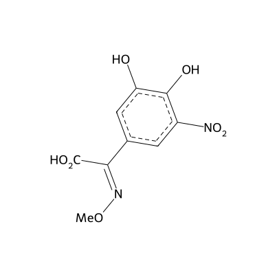 CON=C(C(=O)O)c1cc(O)c(O)c([N+](=O)[O-])c1